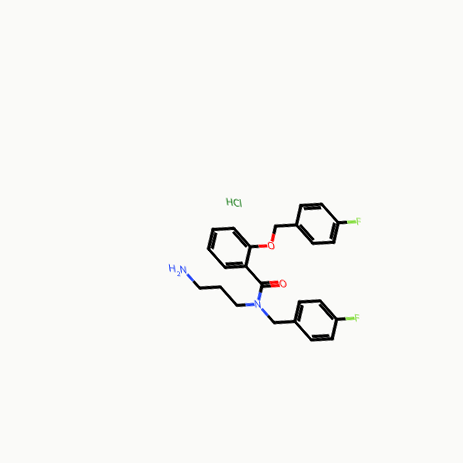 Cl.NCCCN(Cc1ccc(F)cc1)C(=O)c1ccccc1OCc1ccc(F)cc1